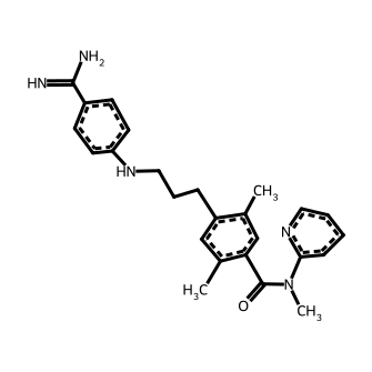 Cc1cc(C(=O)N(C)c2ccccn2)c(C)cc1CCCNc1ccc(C(=N)N)cc1